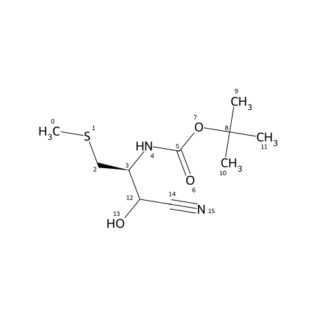 CSC[C@@H](NC(=O)OC(C)(C)C)C(O)C#N